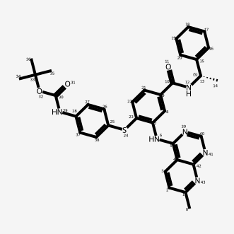 Cc1ccc2c(Nc3cc(C(=O)N[C@@H](C)c4ccccc4)ccc3Sc3ccc(NC(=O)OC(C)(C)C)cc3)ncnc2n1